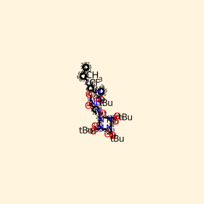 Cc1c(/C=C/c2cc(OCCNC(=O)C3CCN(C(=O)CN4CCN(CC(=O)OC(C)(C)C)CCN(CC(=O)OC(C)(C)C)CCN(CC(=O)OC(C)(C)C)CC4)CC3)c(CN3CCCC[C@H]3C(=O)OC(C)(C)C)cc2C(F)(F)F)cccc1-c1ccccc1